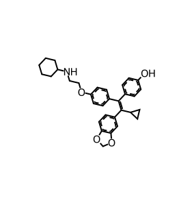 Oc1ccc(C(=C(c2ccc3c(c2)OCO3)C2CC2)c2ccc(OCCNC3CCCCC3)cc2)cc1